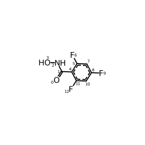 O=C(NO)c1c(F)cc(F)cc1F